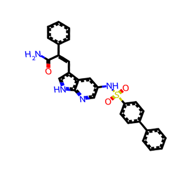 NC(=O)C(=Cc1c[nH]c2ncc(NS(=O)(=O)c3ccc(-c4ccccc4)cc3)cc12)c1ccccc1